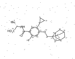 CC(C)(C)[C@H](NC(=O)c1cc(C2CC2)c(OCC23CC4CC(CC2C4)C3)cc1F)C(=O)O